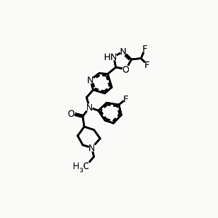 CCN1CCC(C(=O)N(Cc2ccc(C3NN=C(C(F)F)O3)cn2)c2cccc(F)c2)CC1